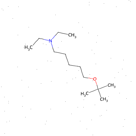 CCN(CC)CCCCCOC(C)(C)C